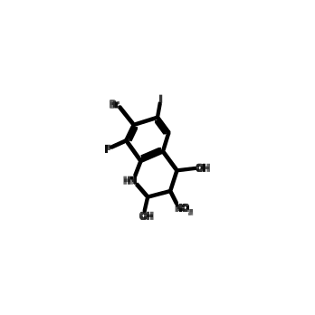 O=[N+]([O-])C1C(O)Nc2c(cc(I)c(Br)c2F)C1O